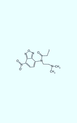 CN(C)CCN(C(=O)CI)c1ccc([N+](=O)[O-])c2nonc12